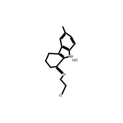 Cc1ccc2[nH]c3c(c2c1)CCCC3=NCCCl.Cl